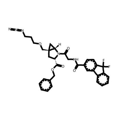 [N-]=[N+]=NCCCOC[C@@]12C[C@@H]1N(C(=O)CNC(=O)c1ccc3c(c1)-c1ccccc1C3(F)F)[C@H](C(=O)OCc1ccccc1)C2